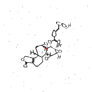 CC(C)[C@]12O[C@H]1[C@@H]1O[C@]13[C@]1(O[C@H]1C[C@H]1C4=C(CC[C@@]13C)C(=O)OC4)[C@@H]2OC(=O)OCC(=O)O